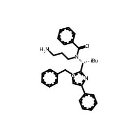 CC[C@@H](C)[C@H](c1nc(-c2ccccc2)cn1Cc1ccccc1)N(CCCN)C(=O)c1ccccc1